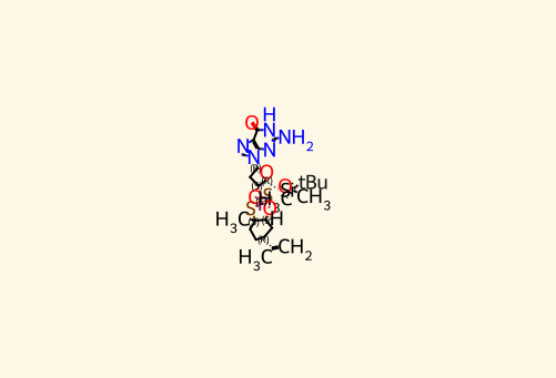 C=C(C)[C@@H]1CC[C@]2(C)S[P@@](=S)(O[C@H]3C[C@H](n4cnc5c(=O)[nH]c(N)nc54)O[C@@H]3CO[Si](C)(C)C(C)(C)C)O[C@H]2C1